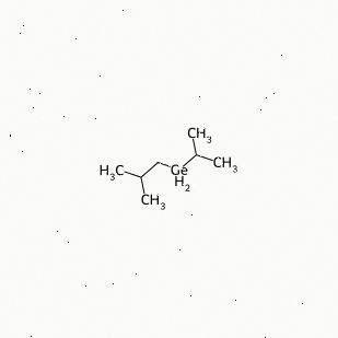 CC(C)[CH2][GeH2][CH](C)C